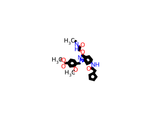 CCNC(=O)COc1nn(Cc2ccc(C(=O)OC)cc2OC)c2cc(NC(=O)CC3CCCC3)ccc12